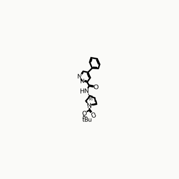 CC(C)(C)OC(=O)N1CC[C@@H](NC(=O)c2cc(-c3ccccc3)cnn2)C1